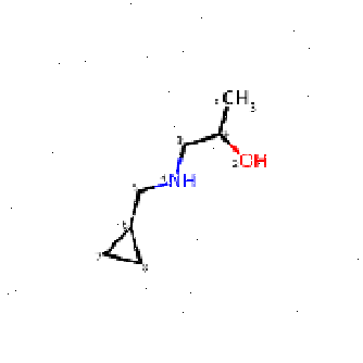 CC(O)CNCC1CC1